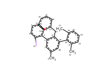 Cc1cc(-c2ccccc2I)c(Cc2ccccc2)c(-c2c(C)cccc2C)c1